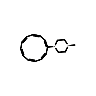 CN1CCN(C2=C/C=C\C=C/C=C\C=C/C=C\2)CC1